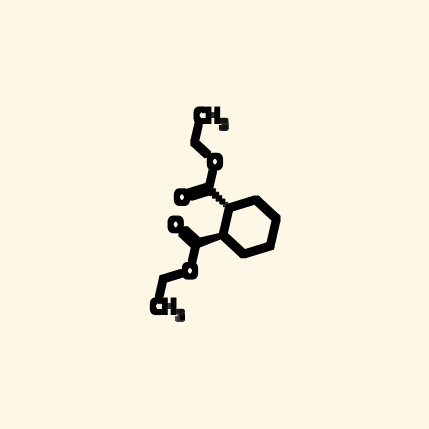 CCOC(=O)[C@@H]1CCCC[C@H]1C(=O)OCC